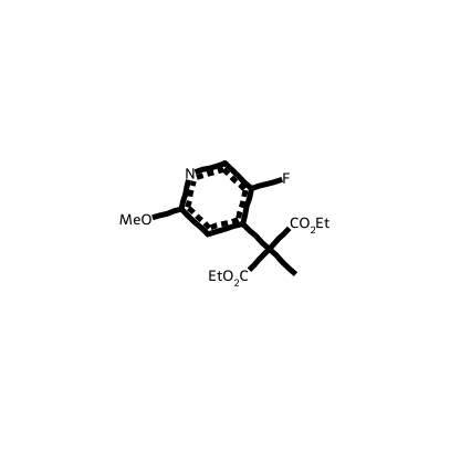 CCOC(=O)C(C)(C(=O)OCC)c1cc(OC)ncc1F